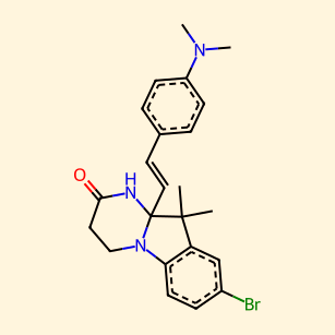 CN(C)c1ccc(/C=C/C23NC(=O)CCN2c2ccc(Br)cc2C3(C)C)cc1